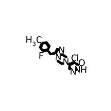 Cc1ccc(Cc2cnc3n2CCN(c2cn[nH]c(=O)c2Cl)C3)c(F)c1